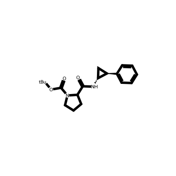 CC(C)(C)OC(=O)N1CCCC1C(=O)N[C@@H]1C[C@H]1c1ccccc1